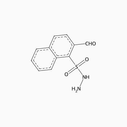 NNS(=O)(=O)c1c(C=O)ccc2ccccc12